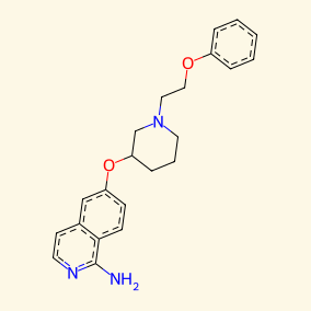 Nc1nccc2cc(OC3CCCN(CCOc4ccccc4)C3)ccc12